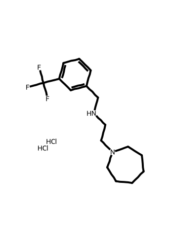 Cl.Cl.FC(F)(F)c1cccc(CNCCN2CCCCCC2)c1